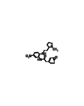 CN1CCCC1CCNc1ccc([N+](=O)[O-])cc1NC(=O)Cc1ccc2c(c1)O2